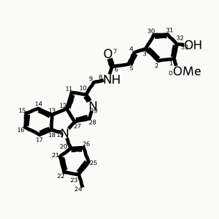 COc1cc(/C=C/C(=O)NCc2cc3c4ccccc4n(-c4ccc(C)cc4)c3cn2)ccc1O